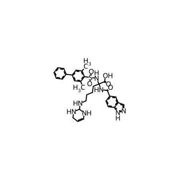 Cc1cc(-c2ccccc2)cc(C)c1S(=O)(=O)NC(CCCCNC1NC=CCN1)(NC(=O)c1ccc2[nH]ncc2c1)C(=O)O